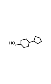 OCC1CCC(C2CCCC2)CC1